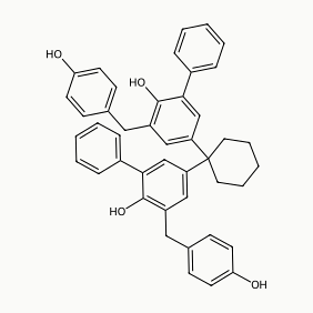 Oc1ccc(Cc2cc(C3(c4cc(Cc5ccc(O)cc5)c(O)c(-c5ccccc5)c4)CCCCC3)cc(-c3ccccc3)c2O)cc1